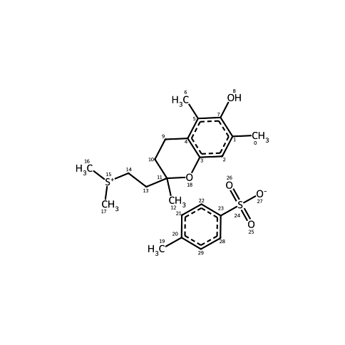 Cc1cc2c(c(C)c1O)CCC(C)(CC[S+](C)C)O2.Cc1ccc(S(=O)(=O)[O-])cc1